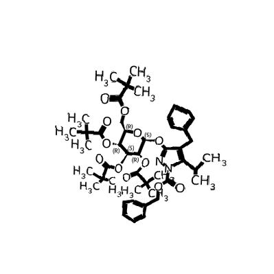 CC(C)c1c(Cc2ccccc2)c(O[C@@H]2O[C@H](COC(=O)C(C)(C)C)[C@@H](OC(=O)C(C)(C)C)[C@H](OC(=O)C(C)(C)C)[C@H]2OC(=O)C(C)(C)C)nn1C(=O)OCc1ccccc1